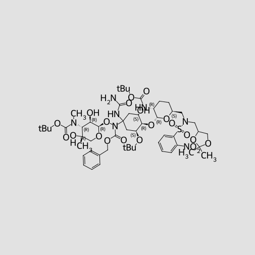 CN(C(=O)OC(C)(C)C)[C@@H]1[C@@H](O)[C@@H](ON(C(=O)OCc2ccccc2)C2(NC(N)=O)C[C@H](OC(C)(C)C)[C@H](O[C@H]3O[C@H](CN(CC4COC(C)(C)O4)S(=O)(=O)c4ccccc4[N+](=O)[O-])CC[C@H]3NC(=O)OC(C)(C)C)[C@@H](O)C2)OC[C@]1(C)O